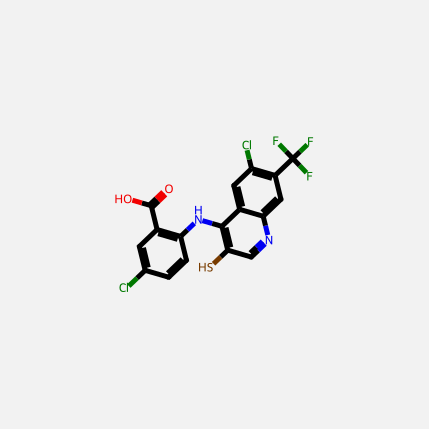 O=C(O)c1cc(Cl)ccc1Nc1c(S)cnc2cc(C(F)(F)F)c(Cl)cc12